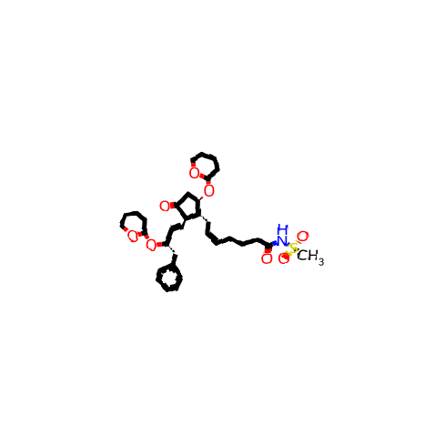 CS(=O)(=O)NC(=O)CCC/C=C\C[C@H]1[C@@H](OC2CCCCO2)CC(=O)[C@@H]1/C=C/[C@H](Cc1ccccc1)OC1CCCCO1